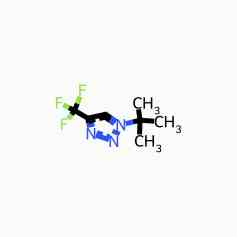 CC(C)(C)n1cc(C(F)(F)F)nn1